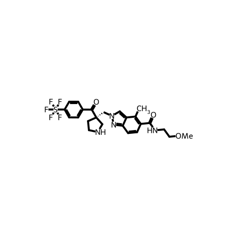 COCCNC(=O)c1ccc2nn(C[C@@]3(C(=O)c4ccc(S(F)(F)(F)(F)F)cc4)CCNC3)cc2c1C